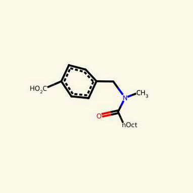 CCCCCCCCC(=O)N(C)Cc1ccc(C(=O)O)cc1